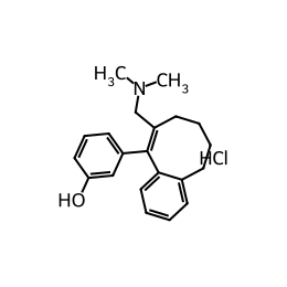 CN(C)CC1=C(c2cccc(O)c2)c2ccccc2CCCC1.Cl